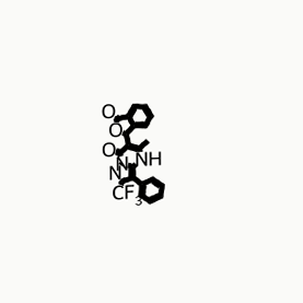 Cc1[nH]c2c(-c3ccccc3)c(C(F)(F)F)nn2c(=O)c1C1OC(=O)c2ccccc21